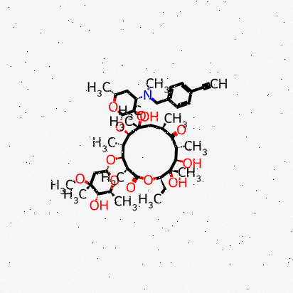 C#Cc1ccc(CN(C)[C@H]2C[C@@H](C)O[C@@H](O[C@@H]3[C@@H](C)[C@H](O[C@H]4C[C@@](C)(OC)[C@@H](O)[C@H](C)O4)[C@@H](C)C(=O)O[C@H](CC)[C@@](C)(O)[C@H](O)[C@@H](C)C(=O)[C@H](C)C[C@@]3(C)OC)[C@@H]2O)cc1